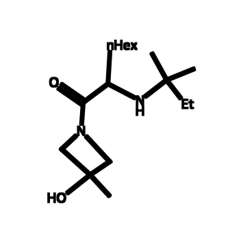 CCCCCCC(NC(C)(C)CC)C(=O)N1CC(C)(O)C1